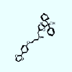 CN(CCCOc1ccc(C2OCCO2)cc1)Cc1cnc(C(O)(c2ccccc2)c2ccccc2)o1